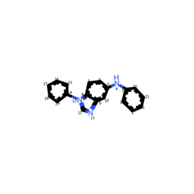 c1ccc(Nc2ccc3c(c2)ncn3-c2ccccc2)cc1